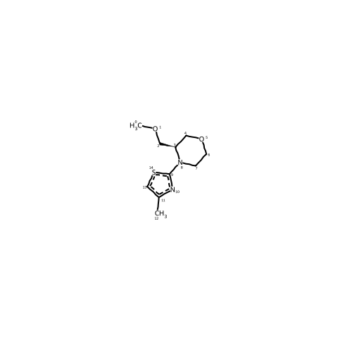 COC[C@H]1COCCN1c1nc(C)cs1